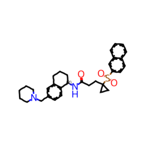 O=C(CCC1(S(=O)(=O)c2ccc3ccccc3c2)CC1)N[C@@H]1CCCc2cc(CN3CCCCC3)ccc21